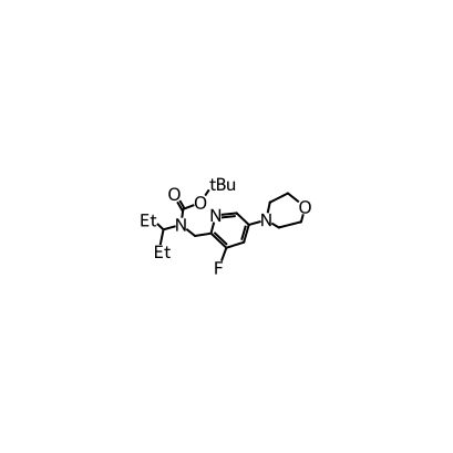 CCC(CC)N(Cc1ncc(N2CCOCC2)cc1F)C(=O)OC(C)(C)C